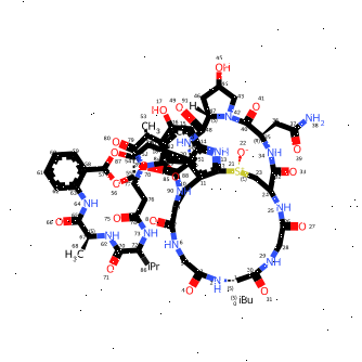 CC[C@H](C)[C@@H]1NC(=O)CNC(=O)C2Cc3c([nH]c4cc(O)ccc34)[S@+]([O-])CC(NC(=O)CNC1=O)C(=O)N[C@H](CC(N)=O)C(=O)N1CC(O)C[C@H]1C(=O)N[C@@H]([C@@H](C)[C@@H]1COC(c3ccccc3NC(=O)[C@H](C)NC(=O)C(NC(=O)CCN3C(=O)CC(C)C3=O)C(C)C)O1)C(=O)N2